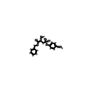 O=C(NCP(=O)([O-])Oc1ccc([N+](=O)[O-])cc1)OCc1ccccc1.[Na+]